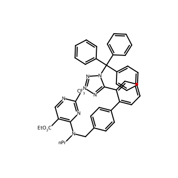 CCCN(Cc1ccc(-c2ccccc2-c2nnnn2C(c2ccccc2)(c2ccccc2)c2ccccc2)cc1)c1nc(C(F)(F)F)ncc1C(=O)OCC